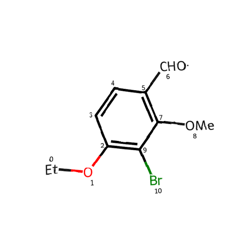 CCOc1ccc([C]=O)c(OC)c1Br